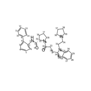 O=C(Nc1ccccc1-c1ccccc1)[C@@H]1CCCN1C(=O)CSc1nc2ccccc2n1CCN1CCCC1